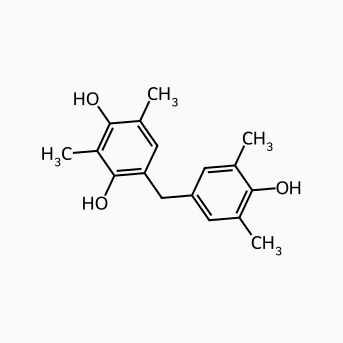 Cc1cc(Cc2cc(C)c(O)c(C)c2O)cc(C)c1O